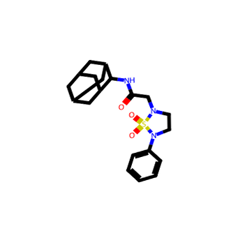 O=C(CN1CCN(c2ccccc2)S1(=O)=O)NC1C2CC3CC(C2)CC1C3